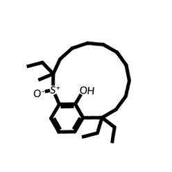 CCC1(CC)CCCCCCCCCC(C)(CC)[S+]([O-])c2cccc1c2O